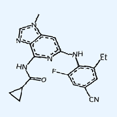 CCc1cc(C#N)cc(F)c1Nc1cc2c(ncn2C)c(NC(=O)C2CC2)n1